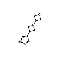 c1[nH]nnc1C1CN(C2COC2)C1